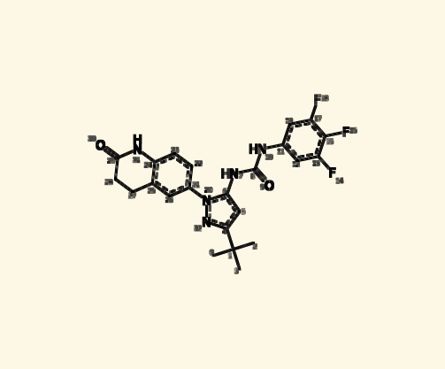 CC(C)(C)c1cc(NC(=O)Nc2cc(F)c(F)c(F)c2)n(-c2ccc3c(c2)CCC(=O)N3)n1